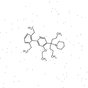 CCCC(CCC)(c1cnc(-c2c(CC)cccc2CC)cc1OCC)N1CCCCC1